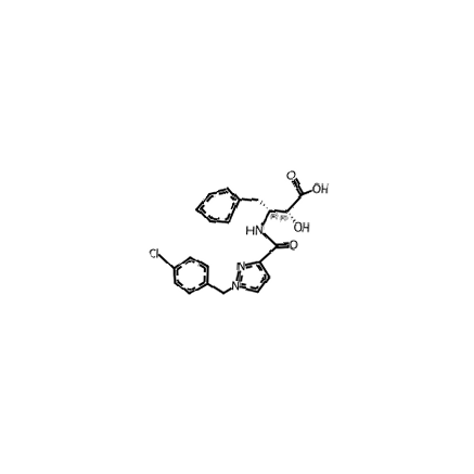 O=C(N[C@H](Cc1ccccc1)[C@@H](O)C(=O)O)c1ccn(Cc2ccc(Cl)cc2)n1